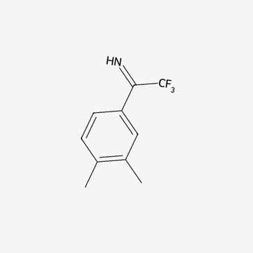 Cc1ccc(C(=N)C(F)(F)F)cc1C